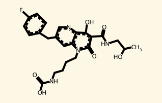 CC(O)CNC(=O)c1c(O)c2ncc(Cc3ccc(F)cc3)cc2n(CCCCNC(=O)O)c1=O